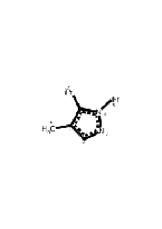 Cc1[c]nn(C(C)C)c1C(C)C